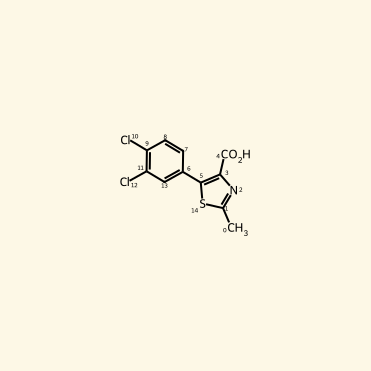 Cc1nc(C(=O)O)c(-c2ccc(Cl)c(Cl)c2)s1